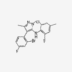 Cc1cc(F)c(Nc2c(-c3ccc(F)cc3Br)c(C)nn2C)c(Cl)c1